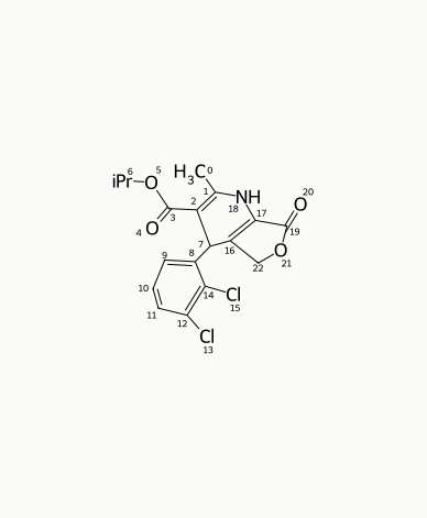 CC1=C(C(=O)OC(C)C)C(c2cccc(Cl)c2Cl)C2=C(N1)C(=O)OC2